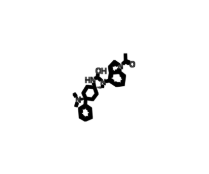 CC(=O)n1ccc2c(N3C[C@]4(CC[C@](c5ccccc5)(N(C)C)CC4)NC3O)cccc21